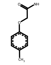 Cc1ccc(OCC([NH])=O)cc1